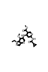 CCn1ncc2ncc(Nc3cc(NC(=O)C4CC4)ncc3C(=O)OC)c(OC)c21